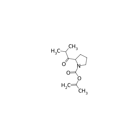 C=C(C)OC(=O)N1CCCC1C(=O)C(C)C